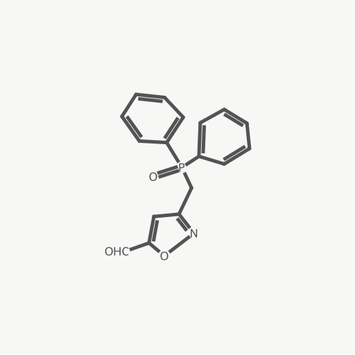 O=Cc1cc(CP(=O)(c2ccccc2)c2ccccc2)no1